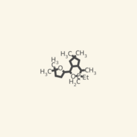 C=P1(CC)OC(C2CCC(C)(C)O2)C2CC(C)(C)CC2C1C